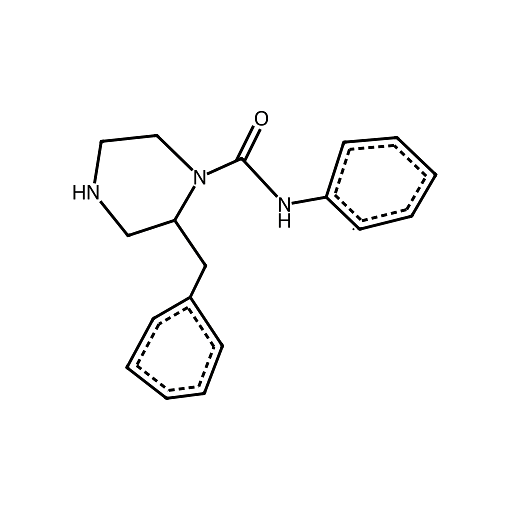 O=C(Nc1[c]cccc1)N1CCNCC1Cc1ccccc1